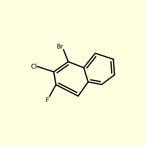 Fc1cc2ccccc2c(Br)c1Cl